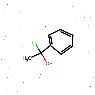 [CH2]C(O)(Cl)c1ccccc1